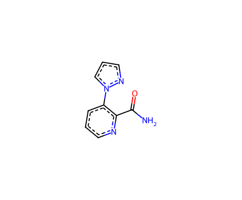 NC(=O)c1ncccc1-n1cccn1